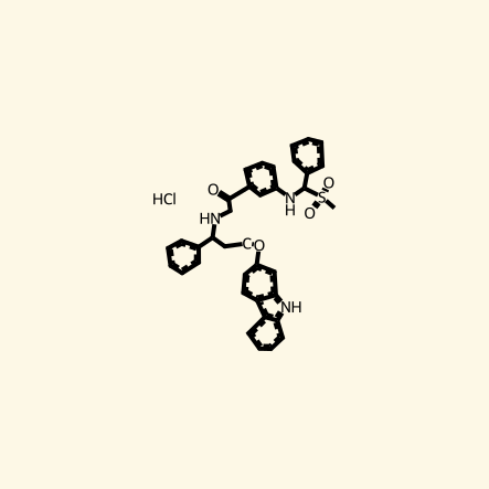 CS(=O)(=O)C(Nc1cccc(C(=O)CNC(CCOc2ccc3c(c2)[nH]c2ccccc23)c2ccccc2)c1)c1ccccc1.Cl